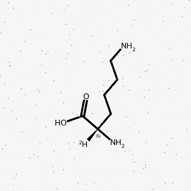 [2H][C@](N)(CCCCN)C(=O)O